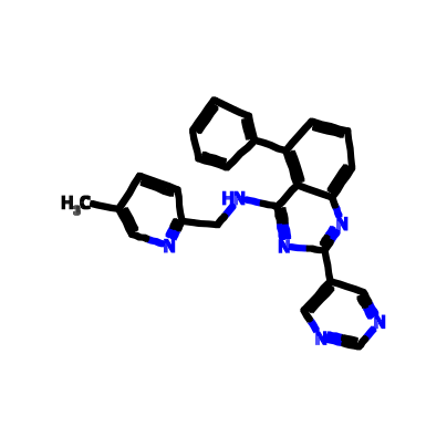 Cc1ccc(CNc2nc(-c3cncnc3)nc3cccc(-c4ccccc4)c23)nc1